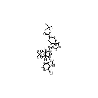 CC(C)(C)OC(=O)N1CCC2(CCCN2C[C@H]2O[C@@H](n3cnc4c(Cl)ncnc43)[C@@H]3OC(C)(C)O[C@@H]32)CC1